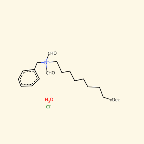 CCCCCCCCCCCCCCCCCC[N+](C=O)(C=O)Cc1ccccc1.O.[Cl-]